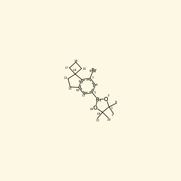 CC1(C)OB(c2cc(Br)c3c(c2)CCC32CCC2)OC1(C)C